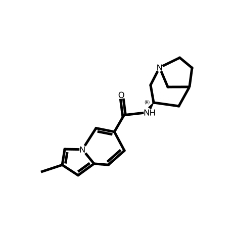 Cc1cc2ccc(C(=O)N[C@@H]3CC4CCN(C4)C3)cn2c1